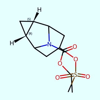 CCOC(=O)N1C2CC(OS(C)(=O)=O)CC1[C@@H]1C[C@H]21